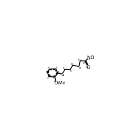 COc1ccccc1SCCCCCC(=O)N=O